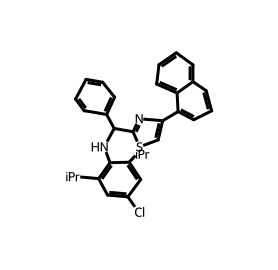 CC(C)c1cc(Cl)cc(C(C)C)c1NC(c1ccccc1)c1nc(-c2cccc3ccccc23)cs1